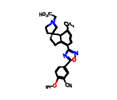 CC(C)Oc1ccc(-c2nc(C3=C4CC[C@@]5(CCN(CC(=O)O)C5)C4C(C)C=C3)no2)cc1C#N